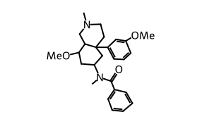 COc1cccc(C23CCN(C)CC2C(OC)CC(N(C)C(=O)c2ccccc2)C3)c1